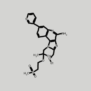 CCOCc1nc2c(N)nc3cc(-c4cccnc4)ccc3c2n1CC(C)(C)OCCS(C)(=O)=O